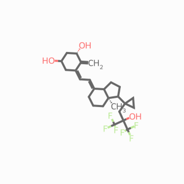 C=C1/C(=C\C=C2/CCC[C@@]3(C)C2CCC3C2(CC(O)(C(F)(F)F)C(F)(F)F)CC2)CC(O)C[C@@H]1O